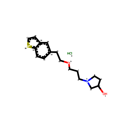 Cl.OC1CCN(CCCOCCc2ccc3sccc3c2)C1